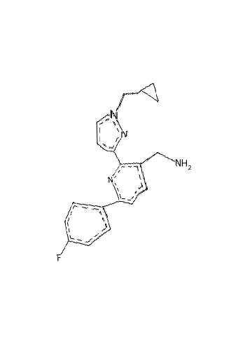 NCc1ccc(-c2ccc(F)cc2)nc1-c1ccn(CC2CC2)n1